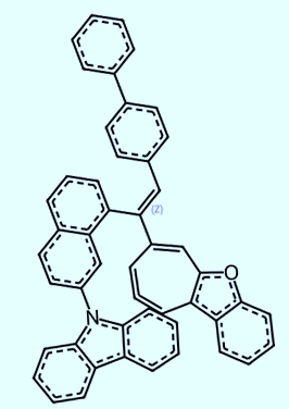 C1=CC(/C(=C/c2ccc(-c3ccccc3)cc2)c2cccc3ccc(-n4c5ccccc5c5ccccc54)cc23)=Cc2oc3ccccc3c2C=1